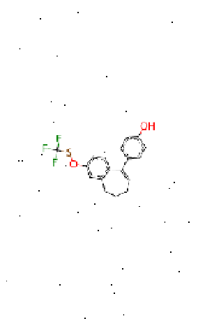 Oc1ccc(C2=CCCCc3cc(OSC(F)(F)F)ccc32)cc1